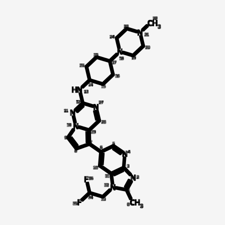 Cc1nc2ncc(-c3ccn4nc(NC5CCC(N6CCN(C)CC6)CC5)ncc34)cc2n1CC(F)F